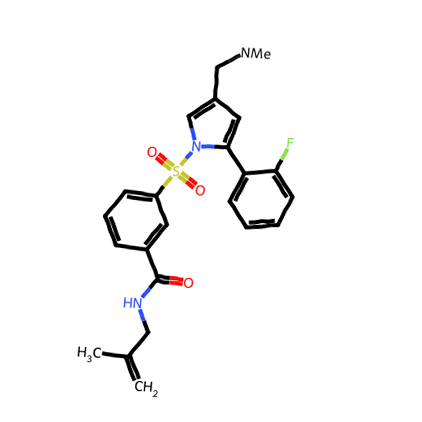 C=C(C)CNC(=O)c1cccc(S(=O)(=O)n2cc(CNC)cc2-c2ccccc2F)c1